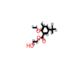 CCOc1c(C)cc(C(C)(C)C)cc1C(=O)OCCO